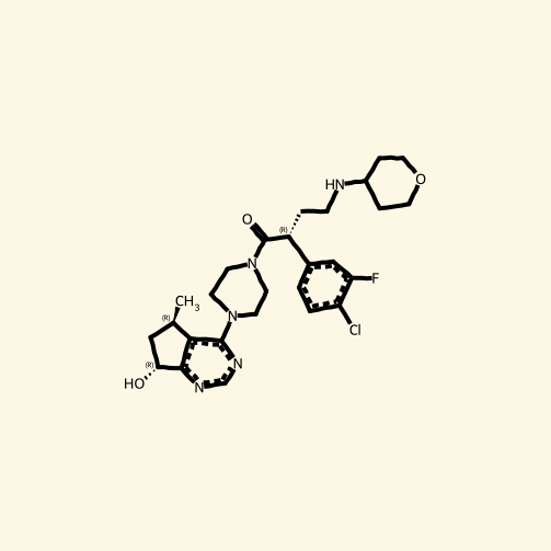 C[C@@H]1C[C@@H](O)c2ncnc(N3CCN(C(=O)[C@H](CCNC4CCOCC4)c4ccc(Cl)c(F)c4)CC3)c21